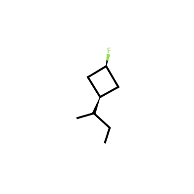 CCC(C)[C@H]1C[C@@H](F)C1